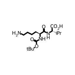 CC(C)[C@H](NC(=O)[C@H](CCCCN)NC(=O)OC(C)(C)C)C(=O)O